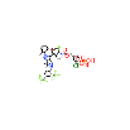 CCc1cccc(CC)c1-n1nc2c(c1-c1ccc(F)c3c1ccn3C(=O)OCc1ccc(OP(=O)(O)O)c(Cl)c1)CN(Cc1ccc(C(F)(F)F)cc1C(F)(F)F)C2(C)C